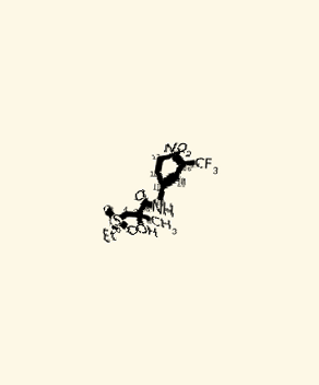 CCS(=O)(=O)CC(C)(O)C(=O)Nc1ccc([N+](=O)[O-])c(C(F)(F)F)c1